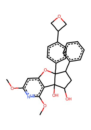 COc1cc2c(c(OC)n1)C1(O)C(O)CC(c3ccccc3)C1(c1ccc(C3COC3)cc1)O2